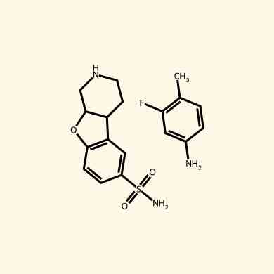 Cc1ccc(N)cc1F.NS(=O)(=O)c1ccc2c(c1)C1CCNCC1O2